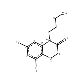 O=C1COc2c(F)cc(F)cc2N1CCCCl